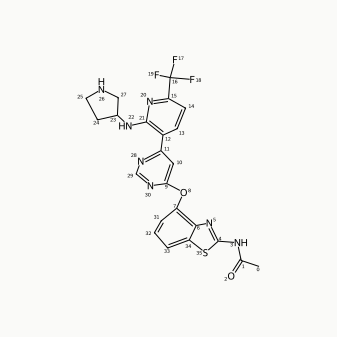 CC(=O)Nc1nc2c(Oc3cc(-c4ccc(C(F)(F)F)nc4NC4CCNC4)ncn3)cccc2s1